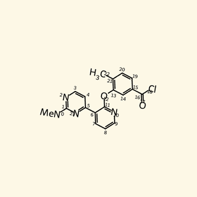 CNc1nccc(-c2cccnc2Oc2cc(C(=O)Cl)ccc2C)n1